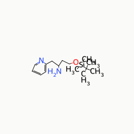 CC(C)(C)[Si](C)(C)OCCC(N)Cc1ccccn1